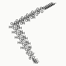 O=P(O)(O)O.O=P(O)(O)O.O=P(O)(O)O.O=P(O)(O)O.O=P(O)(O)O.O=P(O)(O)O.O=P(O)(O)O.O=P(O)(O)O.O=P([O-])(O)O.O=P([O-])([O-])[O-].O=P([O-])([O-])[O-].O=P([O-])([O-])[O-].[Na+].[Na+].[Na+].[Na+].[Na+].[Na+].[Na+].[Na+].[Na+].[Na+]